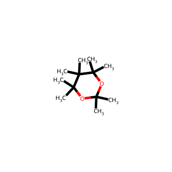 CC1(C)OC(C)(C)C(C)(C)C(C)(C)O1